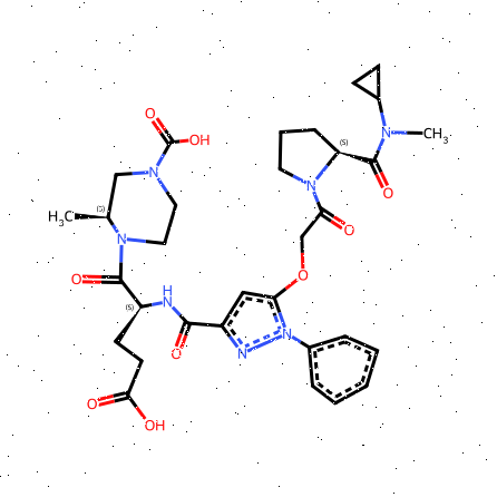 C[C@H]1CN(C(=O)O)CCN1C(=O)[C@H](CCC(=O)O)NC(=O)c1cc(OCC(=O)N2CCC[C@H]2C(=O)N(C)C2CC2)n(-c2ccccc2)n1